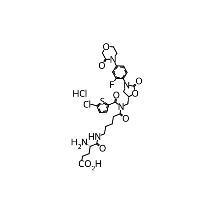 Cl.N[C@@H](CCC(=O)O)C(=O)NCCCCC(=O)N(C[C@H]1CN(c2ccc(N3CCOCC3=O)cc2F)C(=O)O1)C(=O)c1ccc(Cl)s1